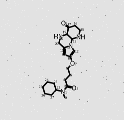 CN(C(=O)CCCOc1cc2n(c1)C1NCCC(=O)C1NC2)C1CCCCC1